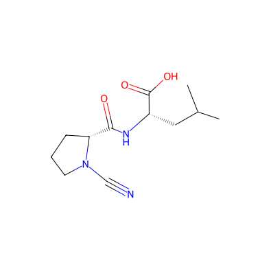 CC(C)C[C@H](NC(=O)[C@H]1CCCN1C#N)C(=O)O